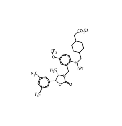 CCCN(CC1CCC(CC(=O)OCC)CC1)c1ccc(OC(F)(F)F)cc1CN1C(=O)O[C@H](c2cc(C(F)(F)F)cc(C(F)(F)F)c2)[C@@H]1C